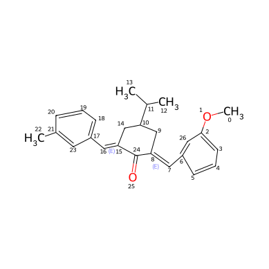 COc1cccc(/C=C2\CC(C(C)C)C/C(=C\c3cccc(C)c3)C2=O)c1